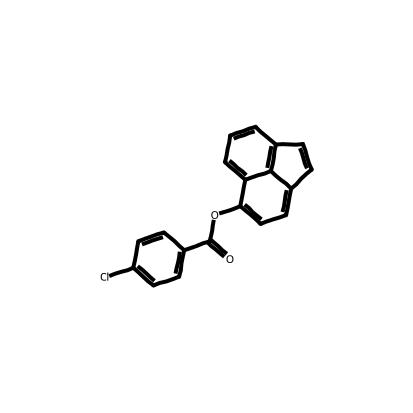 O=C(Oc1ccc2c3c(cccc13)C=C2)c1ccc(Cl)cc1